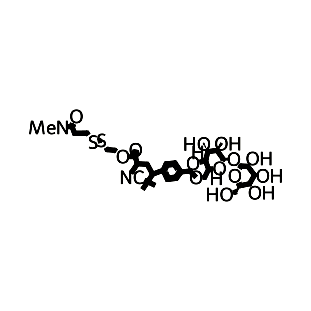 CNC(=O)CCSSCCOC(=O)C(C)CC(c1ccc(C2OC[C@H]3O[C@H](O[C@H]4O[C@H](CO)[C@@H](O)[C@H](O)[C@H]4O)[C@H](O)[C@@H](O)[C@@H]3O2)cc1)C(C)(C)C#N